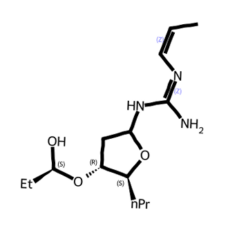 C/C=C\N=C(\N)NC1C[C@@H](O[C@H](O)CC)[C@H](CCC)O1